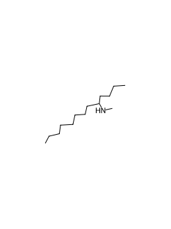 CCCCCCCCC(CCCC)NC